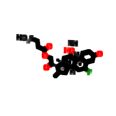 CC1C[C@H]2[C@@H]3CC(F)C4=CC(=O)C=C[C@]4(C)[C@H]3C(O)C[C@]2(C)[C@H]1C(=O)COC(=O)CCS(=O)(=O)O.[KH]